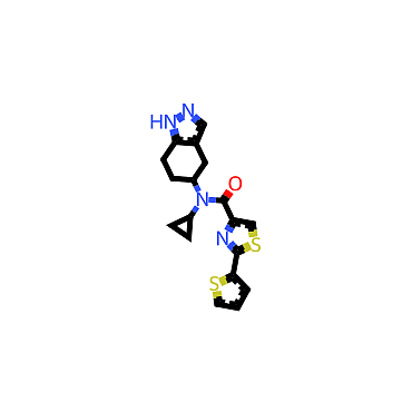 O=C(c1csc(-c2cccs2)n1)N(C1CC1)C1CCc2[nH]ncc2C1